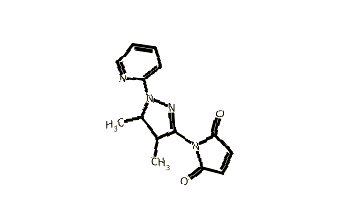 CC1C(N2C(=O)C=CC2=O)=NN(c2ccccn2)C1C